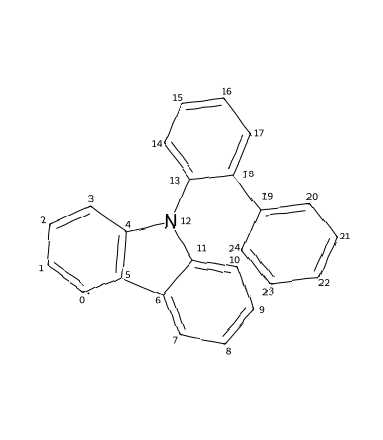 [c]1cccc2c1c1ccccc1n2-c1ccccc1-c1ccccc1